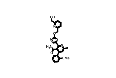 COc1ccccc1-c1cc(C)nc(-c2nnc(OCc3cccc(CO)n3)s2)c1C(N)=O